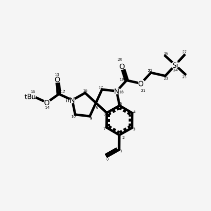 C=Cc1ccc2c(c1)C1(CCN(C(=O)OC(C)(C)C)C1)CN2C(=O)OCC[Si](C)(C)C